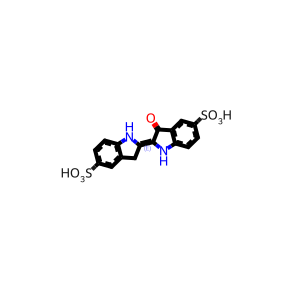 O=C1/C(=C2/Cc3cc(S(=O)(=O)O)ccc3N2)Nc2ccc(S(=O)(=O)O)cc21